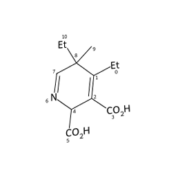 CCC1=C(C(=O)O)C(C(=O)O)N=CC1(C)CC